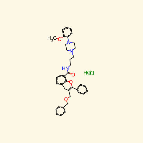 COc1ccccc1N1CCN(CCCNC(=O)c2cccc3c2OC(c2ccccc2)=C(COCc2ccccc2)C3)CC1.Cl.Cl